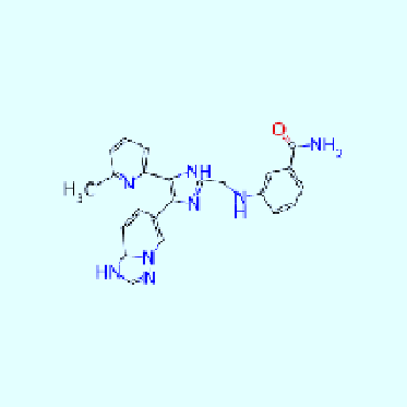 Cc1cccc(-c2[nH]c(CNc3cccc(C(N)=O)c3)nc2C2=CN3N=CNC3C=C2)n1